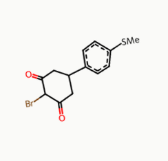 CSc1ccc(C2CC(=O)C(Br)C(=O)C2)cc1